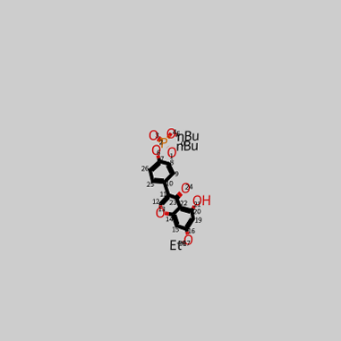 CCCCOP(=O)(OCCCC)Oc1ccc(-c2coc3cc(OCC)cc(O)c3c2=O)cc1